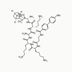 CCCCc1ccc(-c2ccc(C(=O)NCCC(=O)N[C@@H](CCCCN)C(=O)N[C@@H](CCCCN)C(=O)N[C@@H](N)C(=O)N[C@@H](CCCCN)C(=O)N[C@@H](N)B3O[C@@H]4C[C@@H]5C[C@@H](C5(C)C)[C@]4(C)O3)cc2)cc1